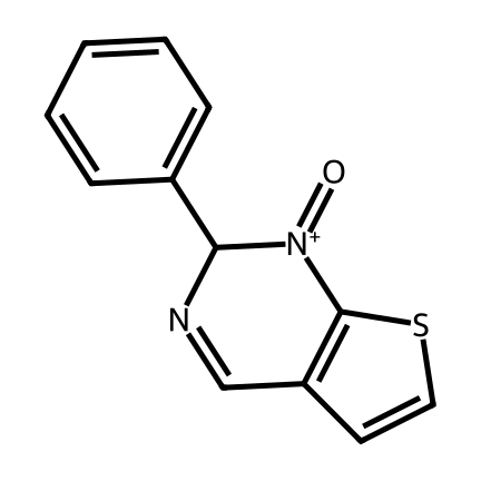 O=[N+]1c2sccc2C=NC1c1ccccc1